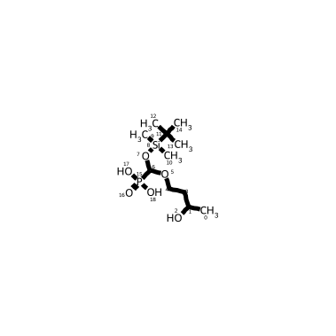 CC(O)CCOC(O[Si](C)(C)C(C)(C)C)P(=O)(O)O